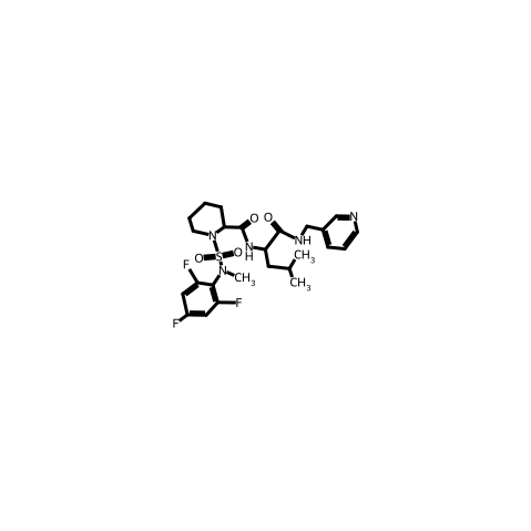 CC(C)CC(NC(=O)C1CCCCN1S(=O)(=O)N(C)c1c(F)cc(F)cc1F)C(=O)NCc1cccnc1